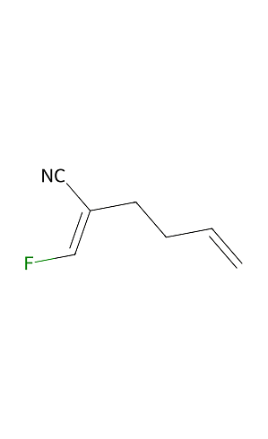 C=CCC/C(C#N)=C/F